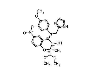 COc1ccc(N(Cc2ncc[nH]2)[C@@H]2c3cc([N+](=O)[O-])ccc3O[C@](C)(C(OC)OC)[C@H]2O)cc1